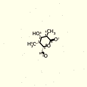 C[C@@H]1[C@H](O)[C@@H](C)C(=O)O[C@@H]1C=O